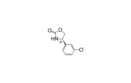 O=C1N[C@H](c2cccc(Cl)c2)CO1